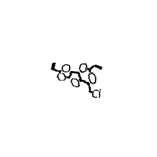 C=CC1OC2OC3C(CCl)OC(C=C)OC3C2O1